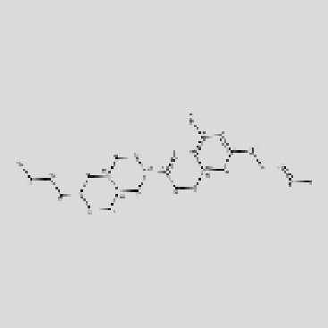 CC=CCOc1cc(F)c2cc(C3CCC4CC(CCCC)CCC4C3)ccc2c1